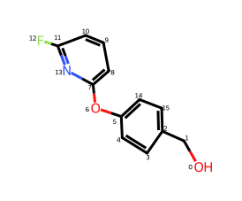 OCc1ccc(Oc2cccc(F)n2)cc1